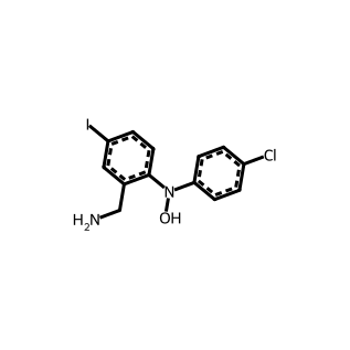 NCc1cc(I)ccc1N(O)c1ccc(Cl)cc1